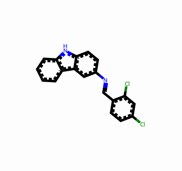 Clc1ccc(C=Nc2ccc3[nH]c4ccccc4c3c2)c(Cl)c1